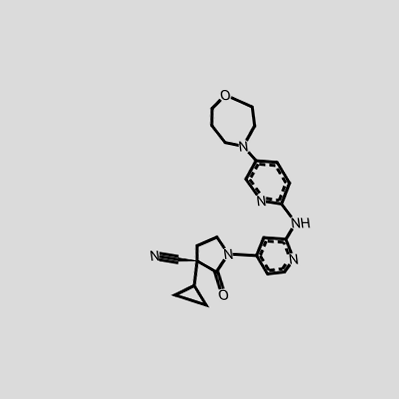 N#C[C@@]1(C2CC2)CCN(c2ccnc(Nc3ccc(N4CCCOCC4)cn3)c2)C1=O